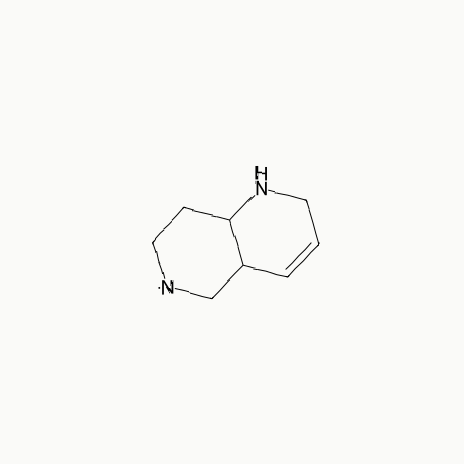 C1=CC2C[N]CCC2NC1